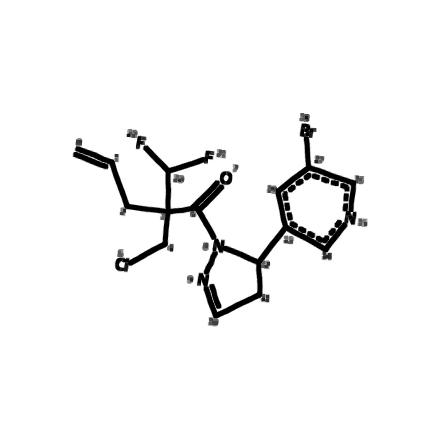 C=CCC(CCl)(C(=O)N1N=CCC1c1cncc(Br)c1)C(F)F